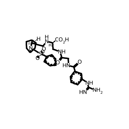 N=C(N)Nc1cccc(C(=O)NCC(=O)NC[C@@H](NC(=O)[C@@H]2C3CCC(CC3)N2S(=O)(=O)c2ccccc2)C(=O)O)c1